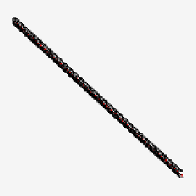 C=C=C=C=C=C=C=C=C=C=C=C=C=C=C=C=C=C=C=C=C=C=C=C=C=C=C=C=C=C=C=C=C=C=C=C=C=C=C=C=C=C=C=C=C=C=C=C=C=C=C=C=C=C=C=C=C=C=C=C=C=C=C=C=C=C=C=C=C=C=C=C=C=C=C=C=C=C=C=C=C=C=C=C=C=C=C=C=C=C=C=C=C=C=C=C=C=C=C=C=C=C=C=C=C=C=C=C=C=C=C=C=C=C=C=C=C=C=C=C=C=C=C=C=C=C=C=C=C=C=C=C=C=C=C=C=C=C=C=C=C=C=C=C=C=C=C=S